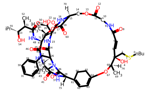 CCCCSC[C@@]1(O)/C=C/C(=O)NCC(=O)OC[C@@H]2NC(=O)[C@@H]([C@@H](C)O)NC(=O)[C@H](Cc3ccccc3)N(C)C(=O)[C@@H](NC(=O)[C@@H]([C@@H](C)CC)NC(=O)[C@@H](NC(=O)[C@H](C)[C@H](O)C(C)C)[C@@H](C)OC2=O)C2=CC=C(CC2)O[C@@H]1C